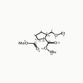 CCOC[C@@H]1CC[C@@H](C(=O)OC)N1C(=O)OC(C)(C)C